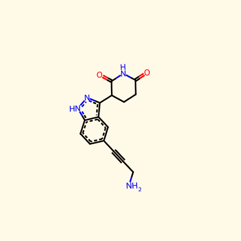 NCC#Cc1ccc2[nH]nc(C3CCC(=O)NC3=O)c2c1